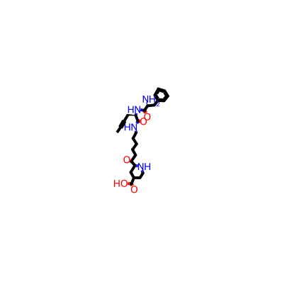 CC#CC[C@@H](NC(=O)[C@H](N)Cc1ccccc1)C(=O)NCCCCCC(=O)C1CC(C(=O)O)CCN1